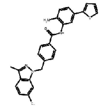 CCc1ccc2c(C)nn(Cc3ccc(C(=O)Nc4cc(-c5cccs5)ccc4N)cc3)c2c1